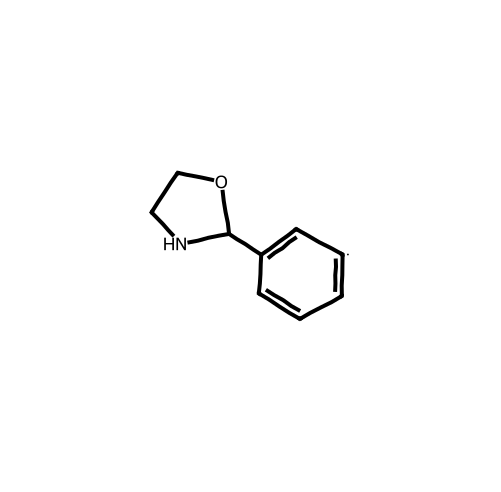 [c]1cccc(C2NCCO2)c1